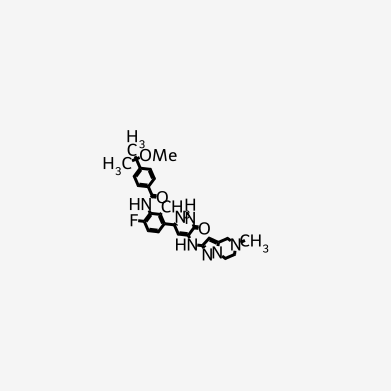 COC(C)(C)c1ccc(C(=O)Nc2c(F)ccc(-c3cc(Nc4cc5n(n4)CCN(C)C5)c(=O)[nH]n3)c2C)cc1